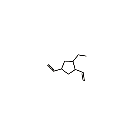 [CH2]CC1CC(C=C)CC1C=C